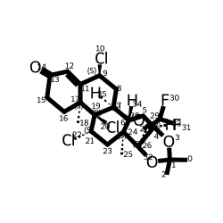 CC1(C)O[C@@H]2C[C@H]3[C@@H]4C[C@H](Cl)C5=CC(=O)CC[C@]5(C)[C@@]4(Cl)[C@@H](Cl)C[C@]3(C)[C@]2(C(=O)C(F)F)O1